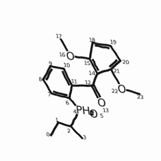 CCC(C)[PH](=O)c1ccccc1C(=O)c1c(OC)cccc1OC